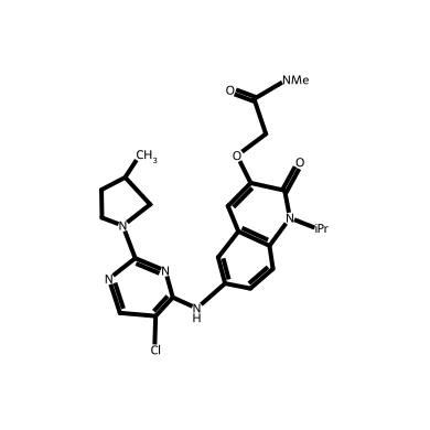 CNC(=O)COc1cc2cc(Nc3nc(N4CCC(C)C4)ncc3Cl)ccc2n(C(C)C)c1=O